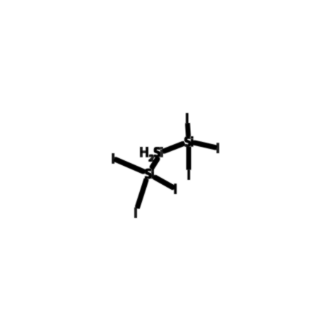 I[Si](I)(I)[SiH2][Si](I)(I)I